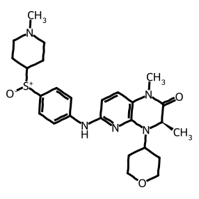 C[C@@H]1C(=O)N(C)c2ccc(Nc3ccc([S+]([O-])C4CCN(C)CC4)cc3)nc2N1C1CCOCC1